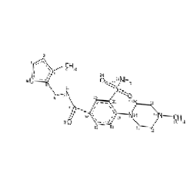 Cc1ccoc1CNC(=O)c1ccc(N2CCN(C)CC2)c(S(N)(=O)=O)c1